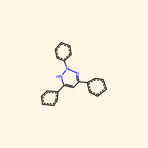 C1=C(c2ccccc2)NN(c2ccccc2)N=C1c1ccccc1